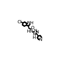 O=C(Cc1c[nH]c2cc(Cl)ccc12)Nc1nnc(-c2ccncc2)[nH]1